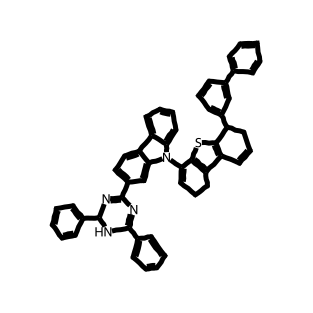 C1=Cc2c(sc3c2CCC=C3n2c3ccccc3c3ccc(C4=NC(c5ccccc5)NC(c5ccccc5)=N4)cc32)C(c2cccc(-c3ccccc3)c2)C1